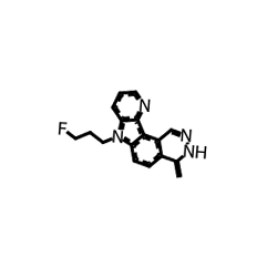 C=C1NN=Cc2c1ccc1c2c2ncccc2n1CCCF